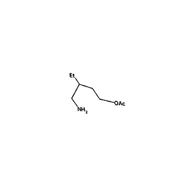 CCC(CN)CCOC(C)=O